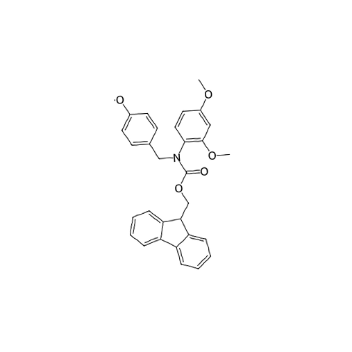 COc1ccc(N(Cc2ccc([O])cc2)C(=O)OCC2c3ccccc3-c3ccccc32)c(OC)c1